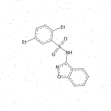 CCc1ccc(CC)c(S(=O)(=O)Nc2noc3ccccc23)c1